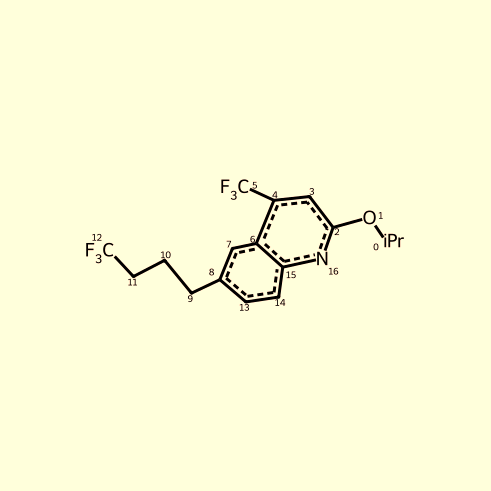 CC(C)Oc1cc(C(F)(F)F)c2cc(CCCC(F)(F)F)ccc2n1